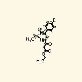 CCOC(=O)CC(=O)NN=C(C(=O)OCC)c1ccc(F)cc1